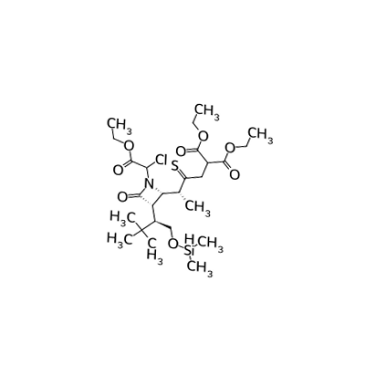 CCOC(=O)C(CC(=S)[C@H](C)[C@@H]1[C@H]([C@@H](CO[SiH](C)C)C(C)(C)C)C(=O)N1C(Cl)C(=O)OCC)C(=O)OCC